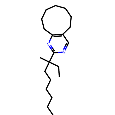 CCCCCCC(C)(CC)c1ncc2c(n1)CCCCCCC2